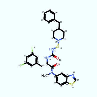 CN(C(=O)[C@H](Cc1cc(F)cc(F)c1)NC(=O)NSN1CCC(Cc2ccccc2)CC1)c1ccc2scnc2c1